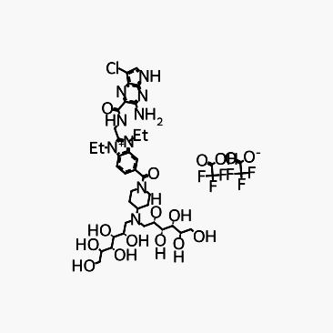 CCn1c(CNC(=O)c2nc3c(Cl)c[nH]c3nc2N)[n+](CC)c2ccc(C(=O)N3CCC(N(C[C@H](O)[C@@H](O)[C@H](O)[C@H](O)CO)C[C@H](O)[C@@H](O)[C@H](O)[C@H](O)CO)CC3)cc21.O=C(O)C(F)(F)F.O=C([O-])C(F)(F)F